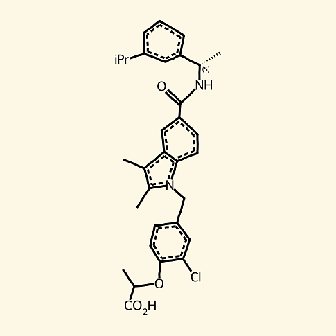 Cc1c(C)n(Cc2ccc(OC(C)C(=O)O)c(Cl)c2)c2ccc(C(=O)N[C@@H](C)c3cccc(C(C)C)c3)cc12